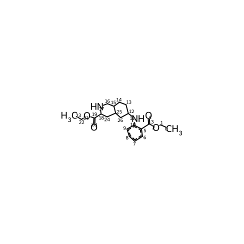 CCOC(=O)c1ccccc1NC1CCC2CNC(C(=O)OCC)CC2C1